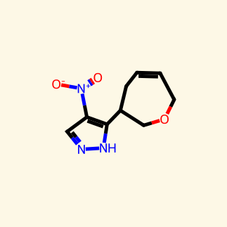 O=[N+]([O-])c1cn[nH]c1C1CC=CCOC1